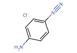 N#[N+]c1ccc(N)cc1.[Cl-]